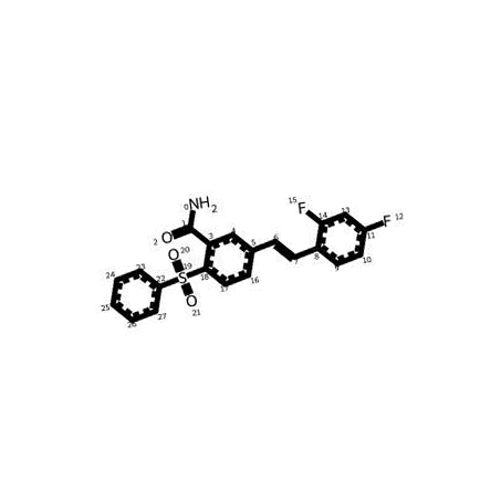 NC(=O)c1cc(C=Cc2ccc(F)cc2F)ccc1S(=O)(=O)c1ccccc1